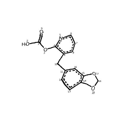 O=C(O)Oc1ncccc1Cc1ccc2c(c1)OCO2